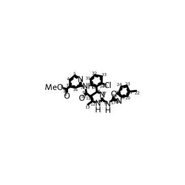 COC(=O)c1ccnc(NC(=O)C2=C(C)NC(Nc3nc4cc(C)ccc4o3)=NC2c2ccccc2Cl)c1